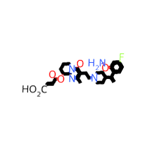 C=C(c1ccc(F)cc1ON)C1CCN(CCc2c(C)nc3n(c2=O)CCCC3OC(=O)/C=C/C(=O)O)CC1